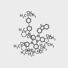 CC(C)(C)c1ccc(-c2ccc3c(c2)C2(C)CCCCC2(C)N3c2cc3c4c(c2)N(c2ccc5sc6ccccc6c5c2)c2cc5c(cc2B4c2cc4c(cc2N3c2ccc3c(c2)C(C)(C)CCC3(C)C)C(C)(C)CCC4(C)C)C(C)(C)CC5(C)C)cc1